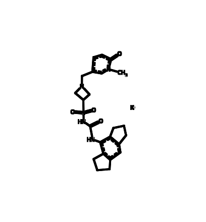 Cn1cc(CN2CC(S(=O)(=O)NC(=O)Nc3c4c(cc5c3CCC5)CCC4)C2)ccc1=O.[K]